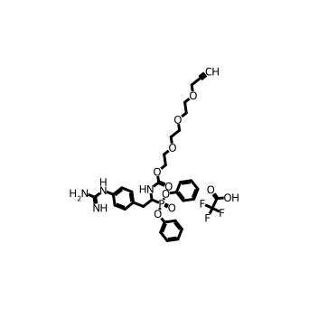 C#CCOCCOCCOCCOC(=O)NC(Cc1ccc(NC(=N)N)cc1)P(=O)(Oc1ccccc1)Oc1ccccc1.O=C(O)C(F)(F)F